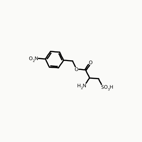 NC(CS(=O)(=O)O)C(=O)OCc1ccc([N+](=O)[O-])cc1